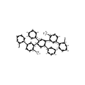 Cc1ccccc1-c1ccc(C(F)(F)F)c(-c2cc(-c3ccccc3)c(-c3cc(-c4ccccc4C)ccc3C(F)(F)F)cc2-c2ccccc2)c1